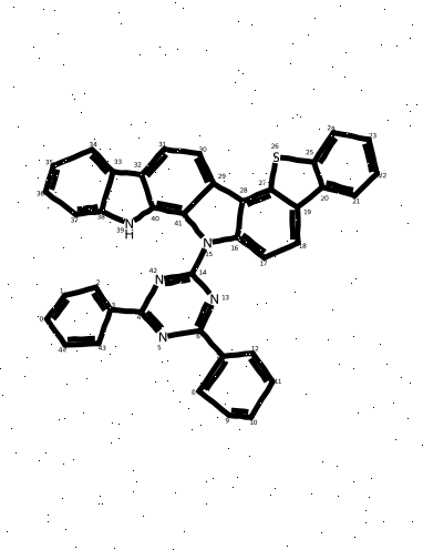 c1ccc(-c2nc(-c3ccccc3)nc(-n3c4ccc5c6ccccc6sc5c4c4ccc5c6ccccc6[nH]c5c43)n2)cc1